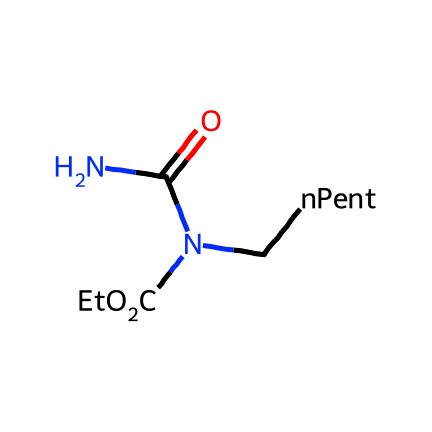 CCCCCCN(C(N)=O)C(=O)OCC